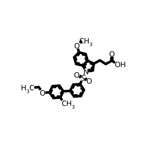 CCOc1ccc(-c2cccc(S(=O)(=O)n3cc(CCC(=O)O)c4cc(OC)ccc43)c2)c(C)c1